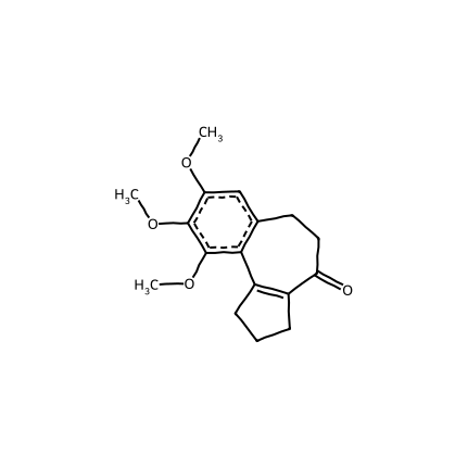 COc1cc2c(c(OC)c1OC)C1=C(CCC1)C(=O)CC2